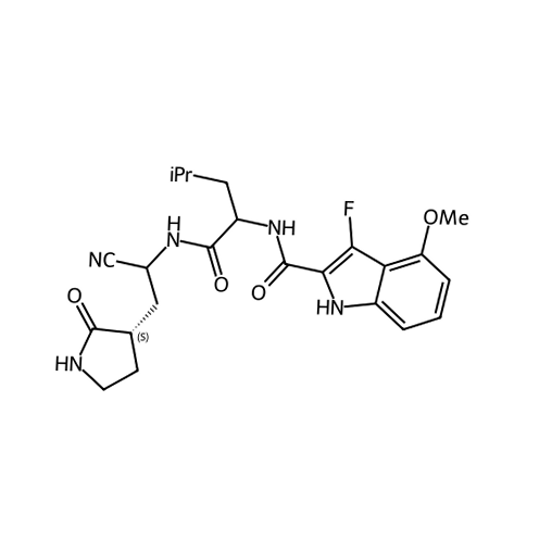 COc1cccc2[nH]c(C(=O)NC(CC(C)C)C(=O)NC(C#N)C[C@@H]3CCNC3=O)c(F)c12